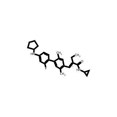 CC/C(=C\c1cc(C)c(-c2ccc(NC3CCCC3)cc2F)cc1C)C(=O)NC1CC1